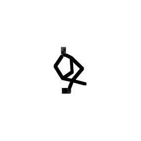 CC1(O)CC2CC1CN2